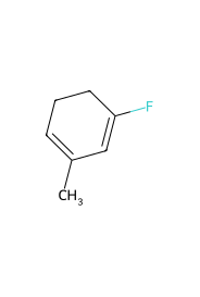 CC1=CCCC(F)=C1